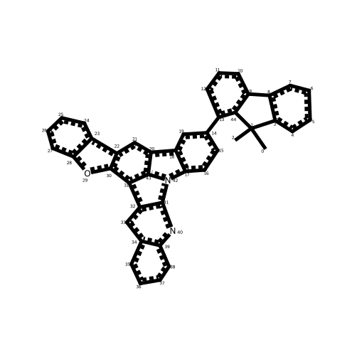 CC1(C)c2ccccc2-c2cccc(-c3ccc4c(c3)c3cc5c6ccccc6oc5c5c6cc7ccccc7nc6n4c35)c21